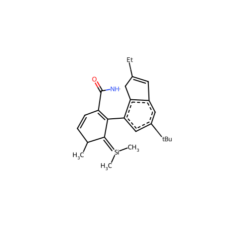 CCC1=Cc2cc(C(C)(C)C)cc(C3=C(C([NH])=O)C=CC(C)C3=[Si](C)C)c2C1